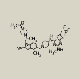 CNc1nc(NC2CCN(Cc3ccc4c(cc(C#N)n4CC(C)N4CCN([S+](C)[O-])CC4)c3C)CC2)c2cc(CC(F)(F)F)sc2n1